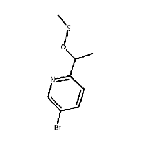 CC(OSI)c1ccc(Br)cn1